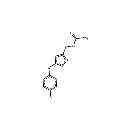 NC(=O)NCc1cc(Oc2ccc(Cl)cc2)cs1